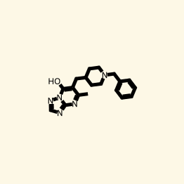 Cc1nc2ncnn2c(O)c1CC1CCN(Cc2ccccc2)CC1